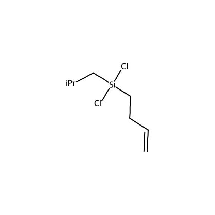 C=CCC[Si](Cl)(Cl)CC(C)C